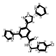 C[C@@H](NC(=O)c1cc(C2=NO[C@H](c3ccccn3)C2)cc(-c2ccccn2)c1)c1ccc(Cl)cn1